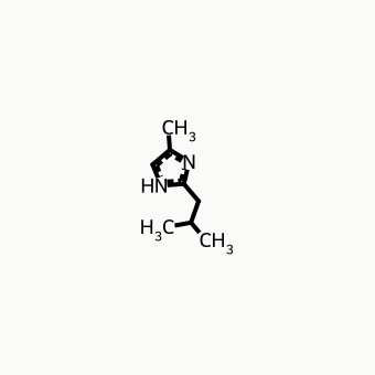 Cc1c[nH]c(CC(C)C)n1